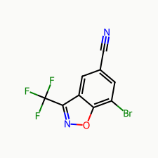 N#Cc1cc(Br)c2onc(C(F)(F)F)c2c1